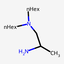 CCCCCCN(CCCCCC)CC(C)N